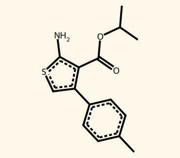 Cc1ccc(-c2csc(N)c2C(=O)OC(C)C)cc1